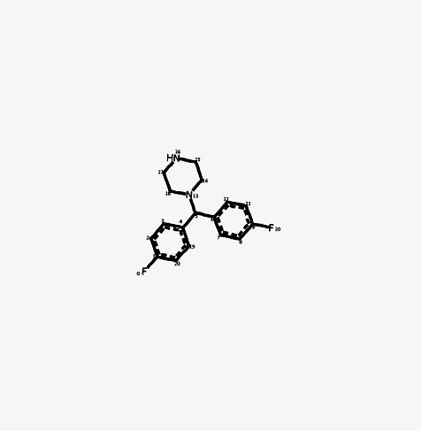 Fc1ccc(C(c2ccc(F)cc2)N2[CH]CNCC2)cc1